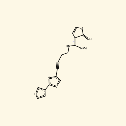 CN/C(NCCC#Cc1csc(-c2ccoc2)n1)=C1/C=CSC1=N